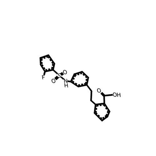 O=C(O)c1ccccc1CCc1cccc(NS(=O)(=O)c2ccccc2F)c1